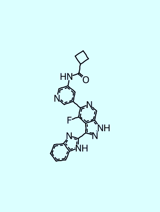 O=C(Nc1cncc(-c2ncc3[nH]nc(-c4nc5ccccc5[nH]4)c3c2F)c1)C1CCC1